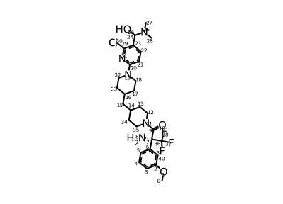 COc1cccc([C@@](N)(C(=O)N2CCC(CC3CCN(c4ccc(C(O)N(C)C)c(Cl)n4)CC3)CC2)C(F)(F)F)c1